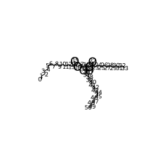 CCCCC/C=C\CCCCCCCC(=O)OC[C@@H](COC(=O)CCCCCCCCCCC)OC(=O)CCCCCCC/C=C\CCCCC